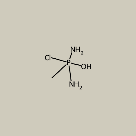 CP(N)(N)(O)Cl